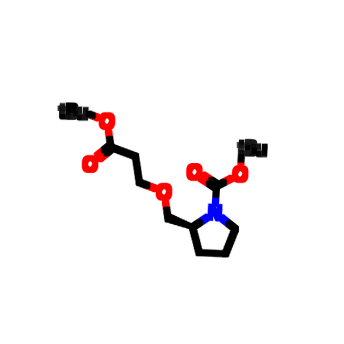 CC(C)(C)OC(=O)CCOC[C@@H]1CCCN1C(=O)OC(C)(C)C